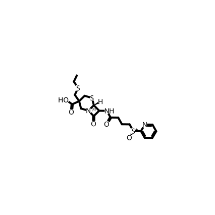 CCSCC1(C(=O)O)CS[C@@H]2C(NC(=O)CCC[S+]([O-])c3ccccn3)C(=O)N2C1